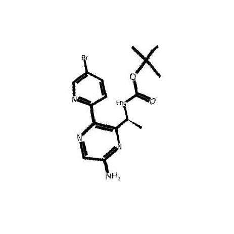 C[C@H](NC(=O)OC(C)(C)C)c1nc(N)cnc1-c1ccc(Br)cn1